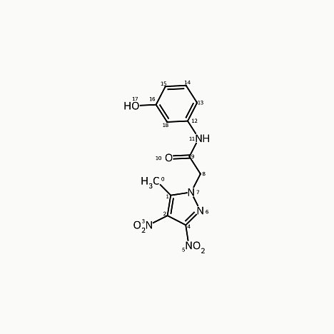 Cc1c([N+](=O)[O-])c([N+](=O)[O-])nn1CC(=O)Nc1cccc(O)c1